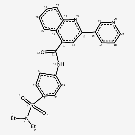 CCN(CC)S(=O)(=O)c1ccc(NC(=O)c2cc(-c3cccnc3)nc3ccccc23)cc1